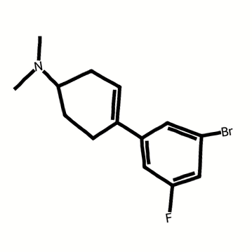 CN(C)C1CC=C(c2cc(F)cc(Br)c2)CC1